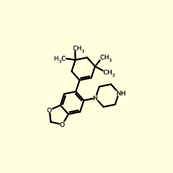 CC1(C)C=C(c2cc3c(cc2N2CCNCC2)OCO3)CC(C)(C)C1